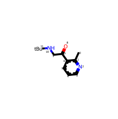 Cc1ncccc1C(=O)CNC(C)(C)C